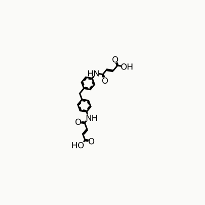 O=C(O)/C=C/C(=O)Nc1ccc(Cc2ccc(NC(=O)/C=C/C(=O)O)cc2)cc1